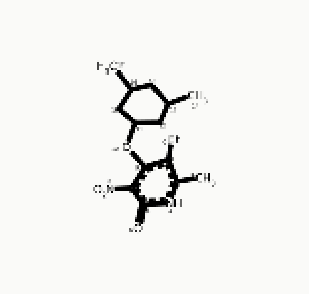 CCc1c(C)[nH]c(=O)c([N+](=O)[O-])c1OC1CC(C)CC(C)C1